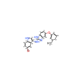 CC1C=C(Oc2ccc3[nH]c(Nc4c[nH]c5ccc(Br)cc45)nc3c2)C=CC1